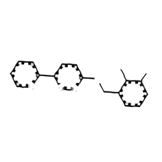 Clc1cccc(CSc2ccc(-c3ccccn3)nn2)c1Cl